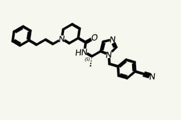 C[C@H](NC(=O)C1CCCN(CCCc2ccccc2)C1)c1cncn1Cc1ccc(C#N)cc1